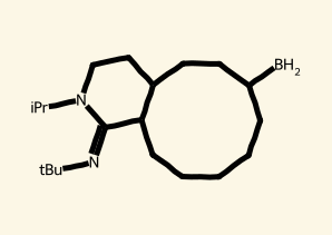 BC1CCCCCC2/C(=N/C(C)(C)C)N(C(C)C)CCC2CC1